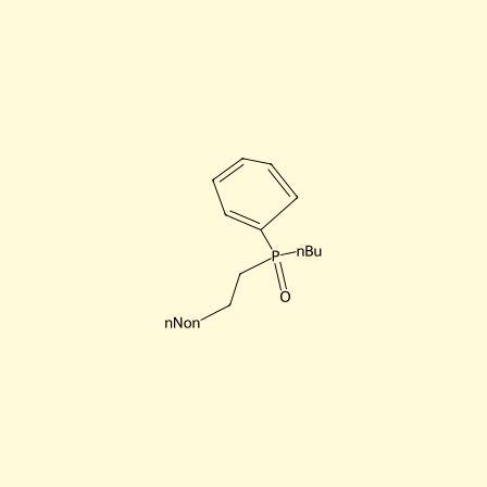 CCCCCCCCCCCP(=O)(CCCC)c1ccccc1